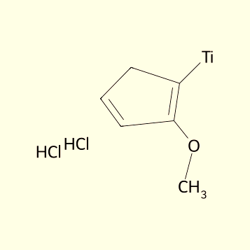 COC1=[C]([Ti])CC=C1.Cl.Cl